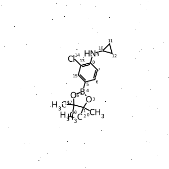 CC1(C)OB(c2ccc(NC3CC3)c(Cl)c2)OC1(C)C